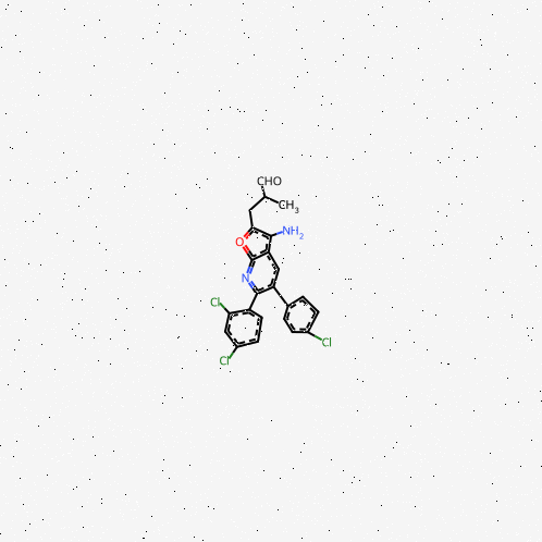 CC(C=O)Cc1oc2nc(-c3ccc(Cl)cc3Cl)c(-c3ccc(Cl)cc3)cc2c1N